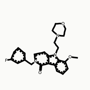 COc1cccc2c3c(=O)n(Cc4cccc(F)c4)ccc3n(CCN3CCOCC3)c12